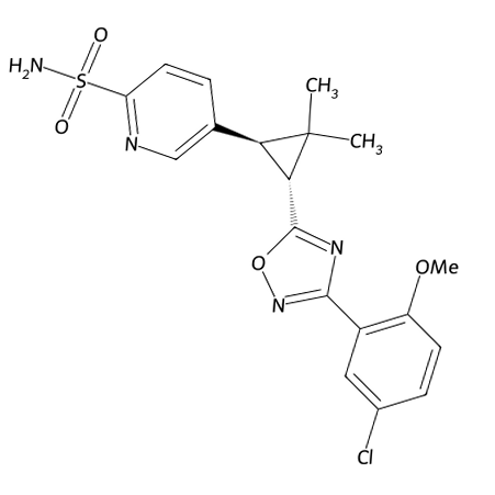 COc1ccc(Cl)cc1-c1noc([C@@H]2[C@@H](c3ccc(S(N)(=O)=O)nc3)C2(C)C)n1